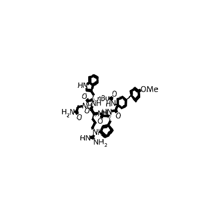 CCCCC(=O)N[C@]1(C(=O)N[C@H](Cc2ccccc2)C(=O)N[C@@H](CCCNC(=N)N)C(=O)N[C@@H](Cc2c[nH]c3ccccc23)C(=O)NCC(N)=O)CC[C@H](c2ccc(OC)cc2)CC1